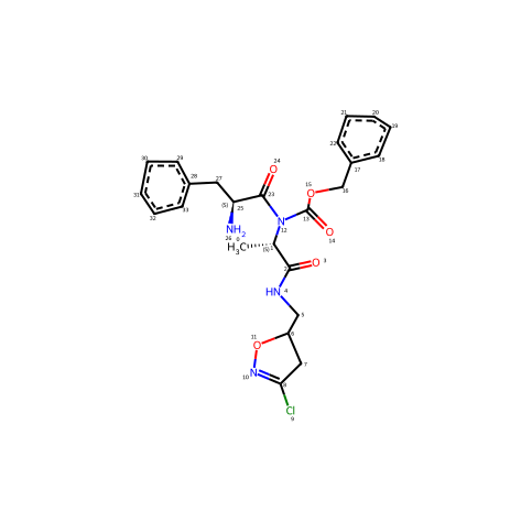 C[C@@H](C(=O)NCC1CC(Cl)=NO1)N(C(=O)OCc1ccccc1)C(=O)[C@@H](N)Cc1ccccc1